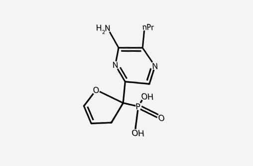 CCCc1ncc(C2(P(=O)(O)O)CC=CO2)nc1N